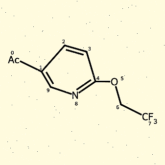 CC(=O)c1ccc(OCC(F)(F)F)nc1